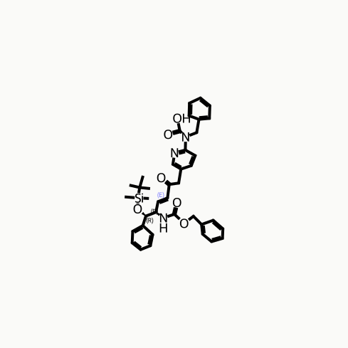 CC(C)(C)[Si](C)(C)O[C@H](c1ccccc1)[C@@H](/C=C/C(=O)Cc1ccc(N(Cc2ccccc2)C(=O)O)nc1)NC(=O)OCc1ccccc1